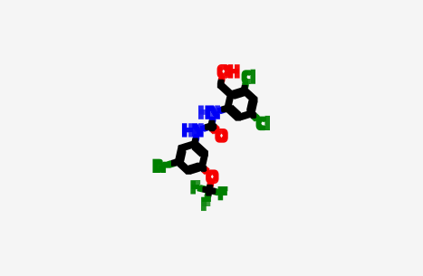 O=C(Nc1cc(Br)cc(OC(F)(F)F)c1)Nc1cc(Cl)cc(Cl)c1CO